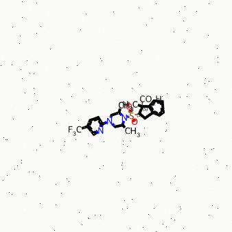 CC1CN(c2ccc(C(F)(F)F)cn2)CC(C)N1S(=O)(=O)[C@H]1Cc2ccccc2[C@@]1(C)C(=O)O